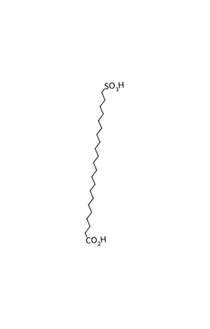 O=C(O)CCCCCCCCCCCCCCCCCCCCCS(=O)(=O)O